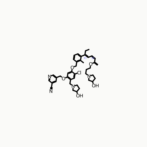 C=C(/C=C\C=C(/CC)c1cccc(COc2cc(OCc3cncc(C#N)c3)c(CN3CCC(O)C3)cc2Cl)c1C)OCCCN1CCC(O)C1